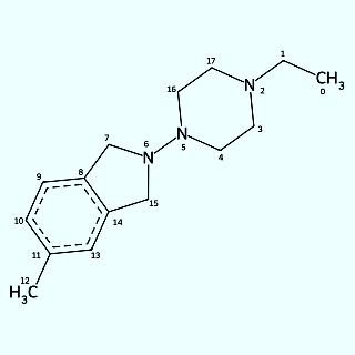 CCN1CCN(N2Cc3ccc(C)cc3C2)CC1